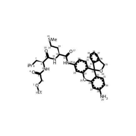 CCOCC(=O)N[C@@H](CC(C)C)C(=O)N[C@@H](CCSC)C(=O)Nc1ccc2c(c1)Oc1cc(N)ccc1C21OCc2ccccc21